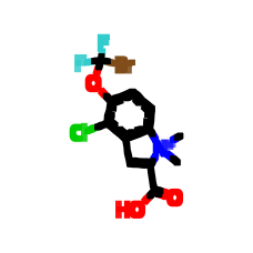 C[N+]1(C)C(C(=O)O)=Cc2c1ccc(OC(F)(F)Br)c2Cl